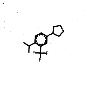 CC(C)c1ccc(C2CCCC2)cc1C(F)(F)F